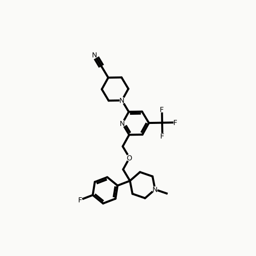 CN1CCC(COCc2cc(C(F)(F)F)cc(N3CCC(C#N)CC3)n2)(c2ccc(F)cc2)CC1